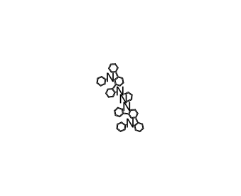 c1ccc(-n2c3ccccc3c3ccc4c(c5ccccc5n4-c4cccc(-n5c6ccccc6c6c5ccc5c7ccccc7n(-c7ccccc7)c56)n4)c32)cc1